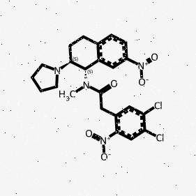 CN(C(=O)Cc1cc(Cl)c(Cl)cc1[N+](=O)[O-])[C@H]1c2cc([N+](=O)[O-])ccc2CC[C@@H]1N1CCCC1